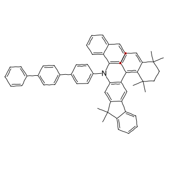 CC1(C)CCC(C)(C)c2c(-c3cc4c(cc3N(c3ccc(-c5ccc(-c6ccccc6)cc5)cc3)c3cccc5ccccc35)C(C)(C)c3ccccc3-4)cccc21